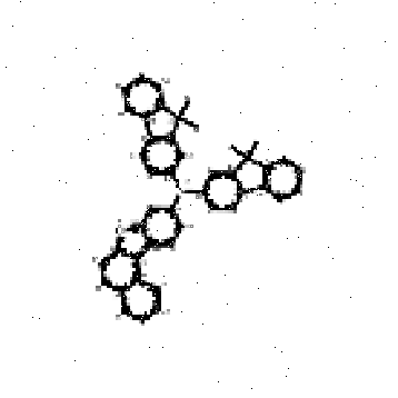 CC1(C)c2ccccc2-c2ccc(N(c3ccc4c(c3)C(C)(C)c3ccccc3-4)c3ccc4c(c3)oc3ccc5ccccc5c34)cc21